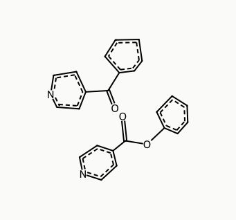 O=C(Oc1ccccc1)c1ccncc1.O=C(c1ccccc1)c1ccncc1